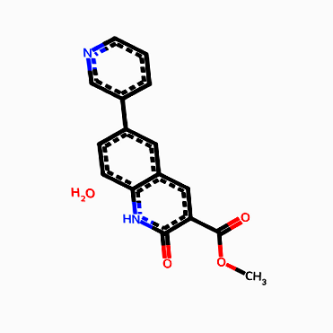 COC(=O)c1cc2cc(-c3cccnc3)ccc2[nH]c1=O.O